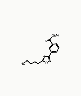 COC(=O)c1cccc(-c2noc(CCCCO)n2)c1